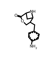 Nc1ccc(CC2COC(=O)C3CC2N3)cc1